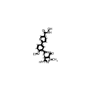 CCCc1nn(C)c2c(=O)[nH]c(-c3cc(-c4ccc(C(=O)NO)cn4)ccc3OCC)nc12